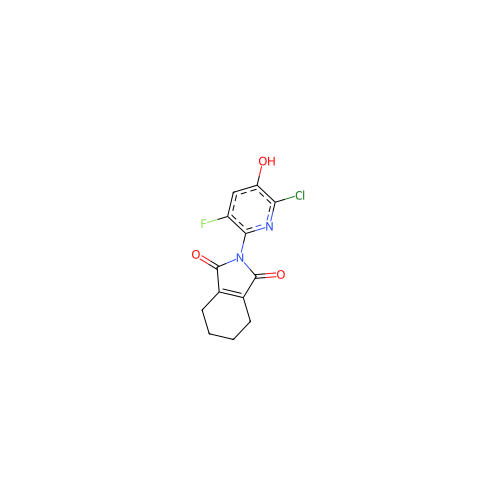 O=C1C2=C(CCCC2)C(=O)N1c1nc(Cl)c(O)cc1F